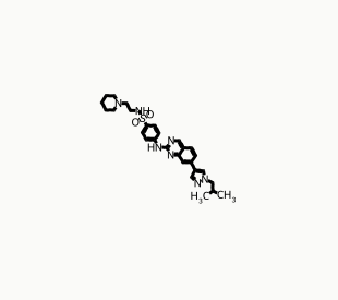 CC(C)Cn1cc(-c2ccc3cnc(Nc4ccc(S(=O)(=O)NCCN5CCCCC5)cc4)nc3c2)cn1